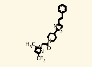 Cc1cc(C(F)(F)F)nn1CC(=O)N1CCC(c2nc(C=Cc3ccccc3)cs2)CC1